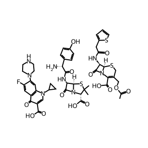 CC(=O)OCC1=C(C(=O)O)N2C(=O)[C@@H](NC(=O)Cc3cccs3)[C@H]2SC1.CC1(C)S[C@@H]2[C@H](NC(=O)[C@H](N)c3ccc(O)cc3)C(=O)N2[C@H]1C(=O)O.O=C(O)c1cn(C2CC2)c2cc(N3CCNCC3)c(F)cc2c1=O